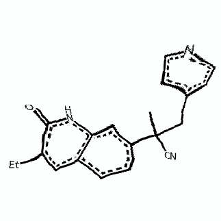 CCc1cc2ccc(C(C)(C#N)Cc3ccncc3)cc2[nH]c1=O